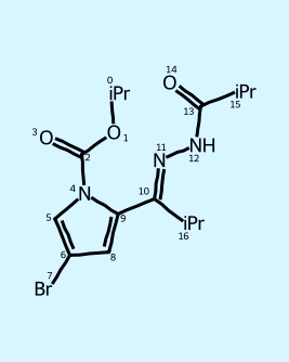 CC(C)OC(=O)n1cc(Br)cc1C(=NNC(=O)C(C)C)C(C)C